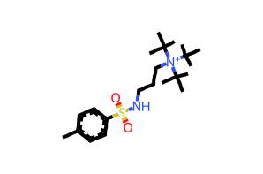 Cc1ccc(S(=O)(=O)NCCC[N+](C(C)(C)C)(C(C)(C)C)C(C)(C)C)cc1